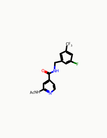 CC(=O)Nc1cc(C(=O)NCc2cc(F)cc(C(F)(F)F)c2)ccn1